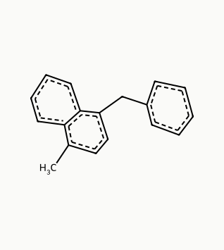 Cc1ccc(Cc2ccccc2)c2ccccc12